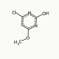 COc1cc(Cl)nc(O)n1